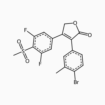 Cc1cc(C2=C(c3cc(F)c(S(C)(=O)=O)c(F)c3)COC2=O)ccc1Br